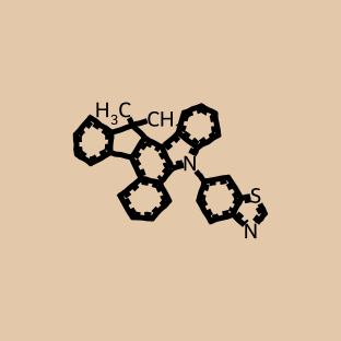 CC1(C)c2ccccc2-c2c1c1c3ccccc3n(-c3ccc4ncsc4c3)c1c1ccccc21